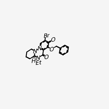 CCN1C(=O)c2c(OCc3ccccc3)c(=O)c(Br)cn2N2CCCC[C@H]12